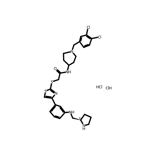 Cl.Cl.O=C(CSc1nc(-c2cccc(NC[C@H]3CCCN3)c2)cs1)NC1CCN(Cc2ccc(Cl)c(Cl)c2)CC1